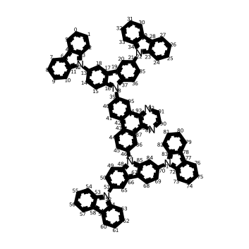 c1ccc2c(c1)c1ccccc1n2-c1ccc2c(c1)c1cc(-n3c4ccccc4c4ccccc43)ccc1n2-c1ccc2c3ccc(-n4c5ccc(-n6c7ccccc7c7ccccc76)cc5c5ccc(-n6c7ccccc7c7ccccc76)cc54)cc3c3nccnc3c2c1